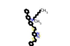 CCCCCCCCC(C)n1c2cc(-c3ccccc3)ccc2c2ccc(-c3ccc(-c4ccc(-c5ccc(-c6ccccc6)s5)c5nsnc45)s3)cc21